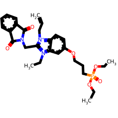 C=CC[n+]1c(CN2C(=O)c3ccccc3C2=O)n(CC)c2cc(OCCCP(=O)(OCC)OCC)ccc21